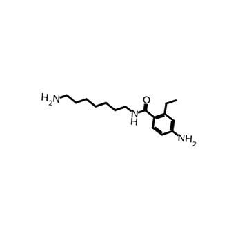 CCc1cc(N)ccc1C(=O)NCCCCCCCN